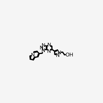 OCCn1cc(-c2cnc3nnn(Cc4ccn5cccc5c4)c3n2)cn1